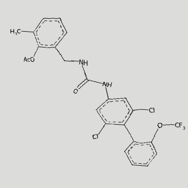 CC(=O)Oc1c(C)cccc1CNC(=O)Nc1cc(Cl)c(-c2ccccc2OC(F)(F)F)c(Cl)c1